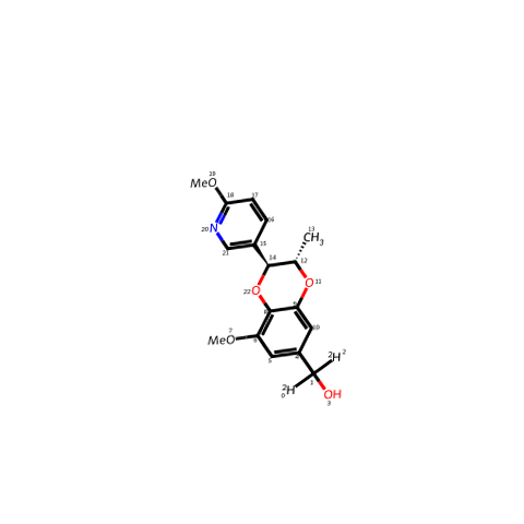 [2H]C([2H])(O)c1cc(OC)c2c(c1)O[C@@H](C)[C@H](c1ccc(OC)nc1)O2